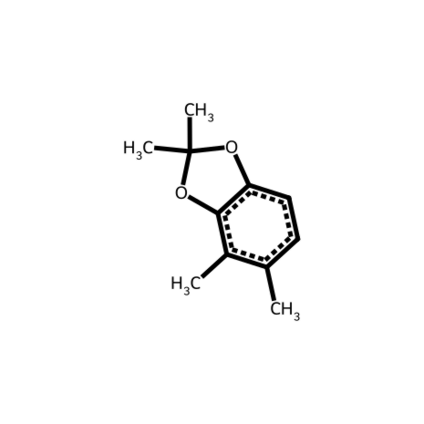 Cc1ccc2c(c1C)OC(C)(C)O2